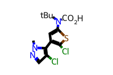 Cn1ncc(Cl)c1-c1cc(N(C(=O)O)C(C)(C)C)sc1Cl